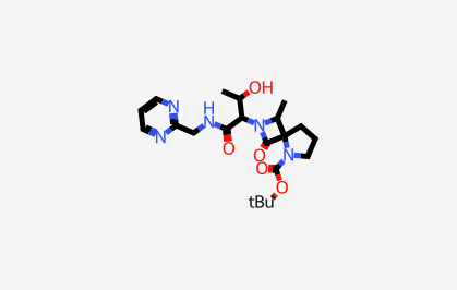 CC(O)C(C(=O)NCc1ncccn1)N1C(=O)C2(CCCN2C(=O)OC(C)(C)C)C1C